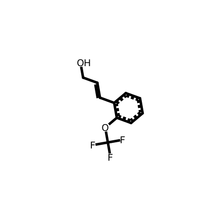 OC/C=C/c1ccccc1OC(F)(F)F